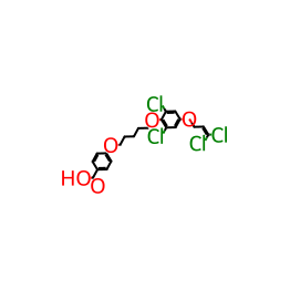 O=C(O)c1ccc(OCCCCCOc2c(Cl)cc(OCC=C(Cl)Cl)cc2Cl)cc1